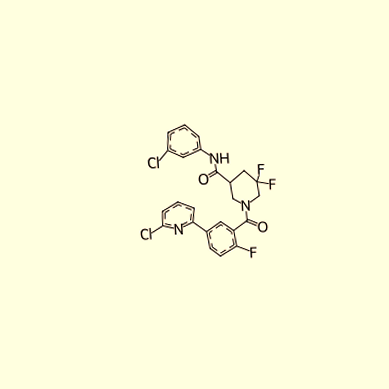 O=C(Nc1cccc(Cl)c1)C1CN(C(=O)c2cc(-c3cccc(Cl)n3)ccc2F)CC(F)(F)C1